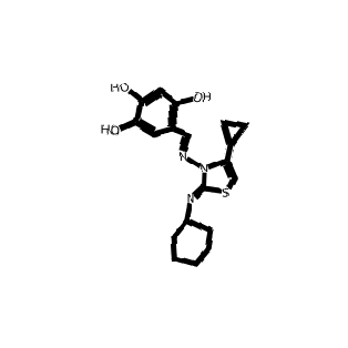 Oc1cc(O)c(/C=N/n2c(C3CC3)cs/c2=N\C2CCCCC2)cc1O